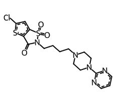 O=C1c2sc(Cl)cc2S(=O)(=O)N1CCCCN1CCN(c2ncccn2)CC1